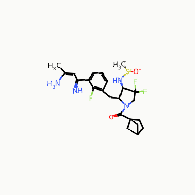 C/C(N)=C/C(=N)c1cccc(C[C@H]2[C@@H](N[S+](C)[O-])C(F)(F)CN2C(=O)C23CCC(C2)C3)c1F